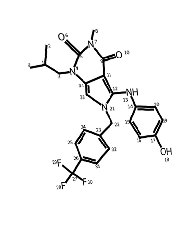 CC(C)Cn1c(=O)n(C)c(=O)c2c(Nc3ccc(O)cc3)n(Cc3ccc(C(F)(F)F)cc3)cc21